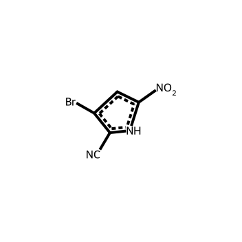 N#Cc1[nH]c([N+](=O)[O-])cc1Br